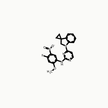 COc1cc(F)c([N+](=O)[O-])cc1Nc1nccc(N2CC3(CC3)c3ccccc32)n1